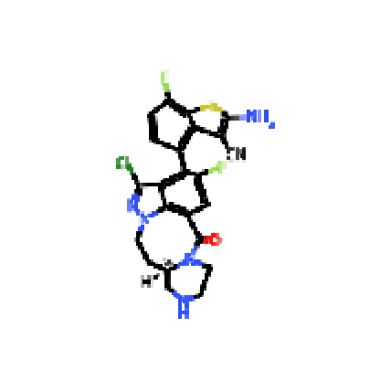 N#Cc1c(N)sc2c(F)ccc(-c3c(F)cc4c5c3c(Cl)nn5CC[C@@H]3CNCCN3C4=O)c12